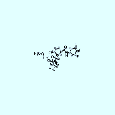 COCCOCC1(O)C2CCC1CC(S(=O)(=O)c1cc(C(=O)Nc3cc(F)c(F)c(F)c3)ccc1Cl)C2